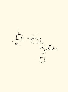 Cn1cn[n+]2c(SCC3=C(C(=O)[O-])N4C(=O)C(NC(=O)/C(=N\OC5(C(=O)O)CCCC5)c5csc(N)n5)[C@@H]4SC3)nc(N)cc12